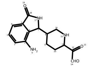 Nc1cccc2c1C(C1CCC(C(=O)C=O)NC1)NC2=O